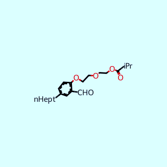 CCCCCCCc1ccc(OCCOCCOC(=O)C(C)C)c(C=O)c1